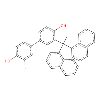 Cc1cc(-c2ccc(O)c(C(C)(c3cccc4ccccc34)c3cccc4ccccc34)c2)ccc1O